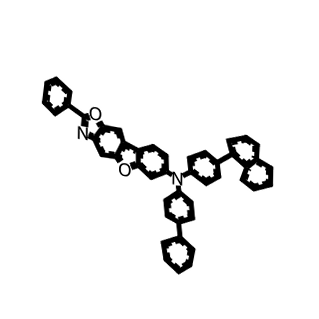 c1ccc(-c2ccc(N(c3ccc(-c4cccc5ccccc45)cc3)c3ccc4c(c3)oc3cc5nc(-c6ccccc6)oc5cc34)cc2)cc1